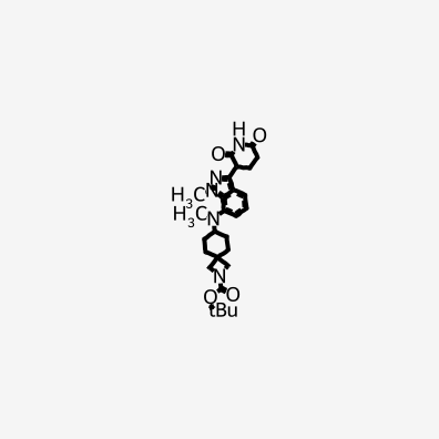 CN(c1cccc2c(C3CCC(=O)NC3=O)nn(C)c12)C1CCC2(CC1)CN(C(=O)OC(C)(C)C)C2